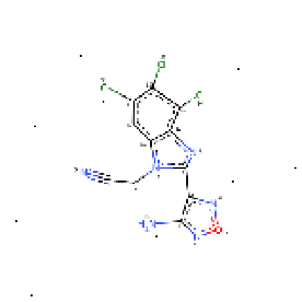 N#CCn1c(-c2nonc2N)nc2c(Cl)c(Cl)c(Cl)cc21